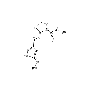 CC(C)(C)OC(=O)N1CCC[C@H]1COc1cc(CO)on1